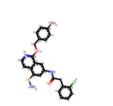 NSc1cc(NC(=O)Cc2ccccc2Cl)cc2c(OCc3ccc(P)cc3)nccc12